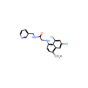 O=C(CNc1ccc(C(=O)O)c2cc(Cl)cc(Cl)c12)NCc1cccnc1